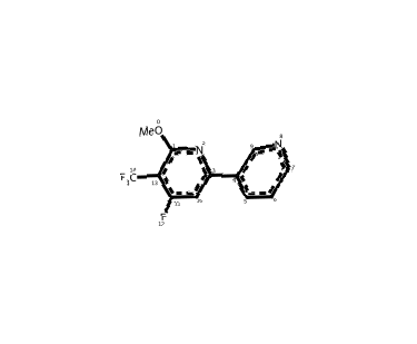 COc1nc(-c2cccnc2)cc(F)c1C(F)(F)F